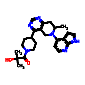 CC1Cc2ncnc(C3CCN(C(=O)C(C)(C)O)CC3)c2CN1c1ccnc2[nH]ccc12